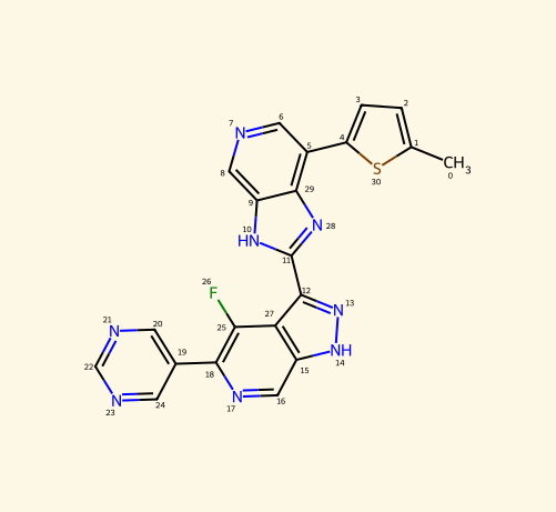 Cc1ccc(-c2cncc3[nH]c(-c4n[nH]c5cnc(-c6cncnc6)c(F)c45)nc23)s1